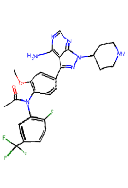 COc1cc(-c2nn(C3CCNCC3)c3ncnc(N)c23)ccc1N(C(C)=O)c1cc(C(F)(F)F)ccc1F